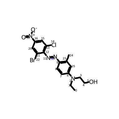 CCN(CCO)c1ccc(/N=N/c2c(Cl)cc([N+](=O)[O-])cc2Br)c(C)c1